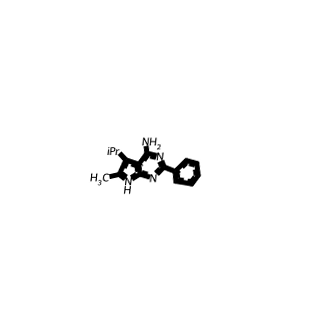 Cc1[nH]c2nc(-c3ccccc3)nc(N)c2c1C(C)C